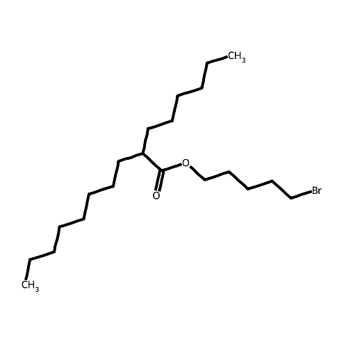 CCCCCCCCC(CCCCCC)C(=O)OCCCCCBr